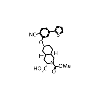 COC(=O)N1C[C@@H]2CC[C@H](Oc3cc(-c4cccs4)ccc3C#N)C[C@@H]2C[C@H]1C(=O)O